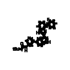 CC(C)(C)CC(=O)Nc1cncc(-c2ccc3[nH]nc(-c4nc5c(-c6ccccc6F)cccc5[nH]4)c3n2)c1